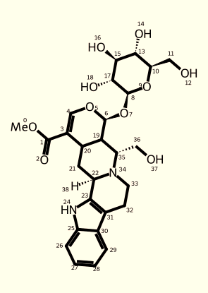 COC(=O)C1=CO[C@@H](O[C@@H]2O[C@H](CO)[C@@H](O)[C@H](O)[C@H]2O)C2C1C[C@@H]1c3[nH]c4ccccc4c3CCN1[C@H]2CO